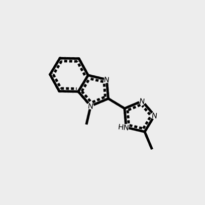 Cc1nnc(-c2nc3ccccc3n2C)[nH]1